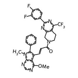 COc1ncnc2c1c(/C=C/C(=O)N1CCc3c(nc(-c4ccc(F)c(F)c4)nc3C(F)(F)F)C1)c(-c1ccccc1)n2C